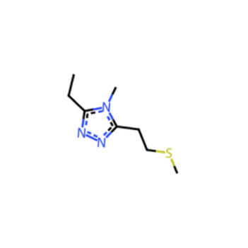 CCc1nnc(CCSC)n1C